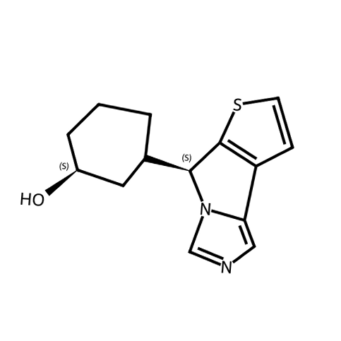 O[C@H]1CCCC([C@H]2c3sccc3-c3cncn32)C1